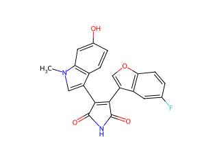 Cn1cc(C2=C(c3coc4ccc(F)cc34)C(=O)NC2=O)c2ccc(O)cc21